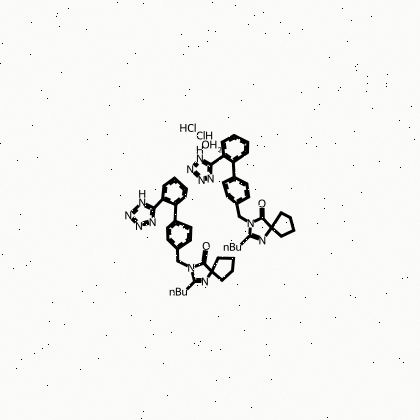 CCCCC1=NC2(CCCC2)C(=O)N1Cc1ccc(-c2ccccc2-c2nnn[nH]2)cc1.CCCCC1=NC2(CCCC2)C(=O)N1Cc1ccc(-c2ccccc2-c2nnn[nH]2)cc1.Cl.Cl.O